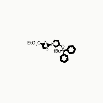 CCOC(=O)c1csc(N2CC[C@@H](O[Si](c3ccccc3)(c3ccccc3)C(C)(C)C)C2)n1